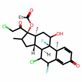 CCC(=O)O[C@]1(C(=O)CCl)C(C)C[C@H]2[C@@H]3C(Cl)C(F)C4=CC(=O)C=C[C@]4(C)[C@@]3(F)C(O)C[C@@]21C